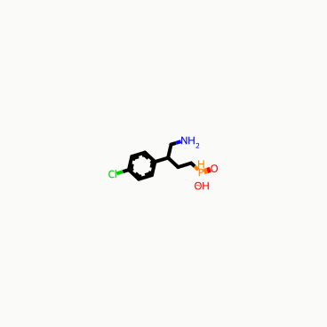 NCC(CC[PH](=O)O)c1ccc(Cl)cc1